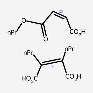 CCC/C(C(=O)O)=C(\CCC)C(=O)O.CCCOC(=O)/C=C\C(=O)O